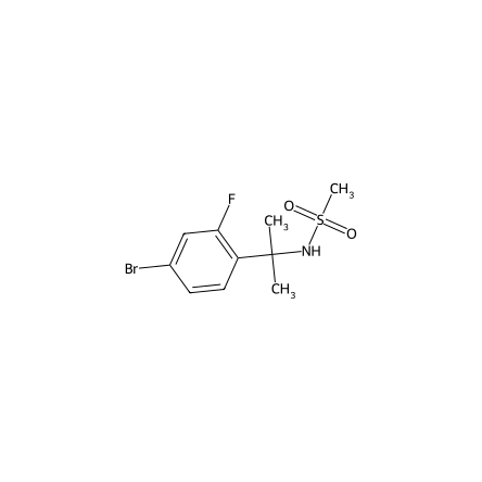 CC(C)(NS(C)(=O)=O)c1ccc(Br)cc1F